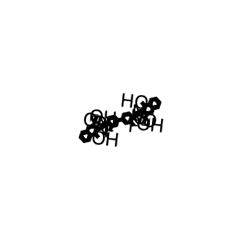 O=S(=O)(O)c1cc2ccccc2c(O)c1/N=N/c1ccc(-c2ccc(/N=N/c3c(S(=O)(=O)O)cc4ccccc4c3O)c(F)c2)cc1F